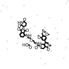 COc1cc(-c2cn(C)c(=O)c3c2CN(C(=O)NCCOCCNc2cccc4c2C(=O)N(C2CCC(=O)NC2=O)C4=O)CC3)cc(OC)c1CN(C)C.O=CO